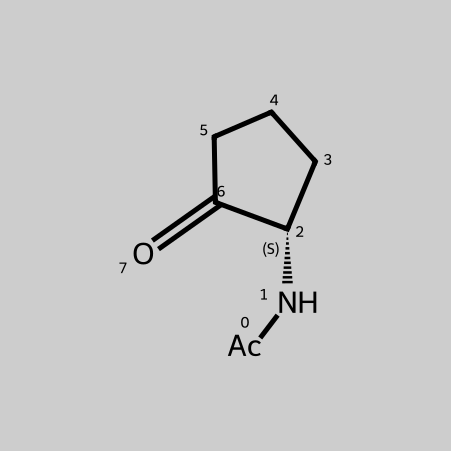 CC(=O)N[C@H]1CCCC1=O